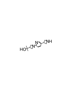 CC(C)(O)C1CN(c2ccc(C3CNC3)cn2)C1